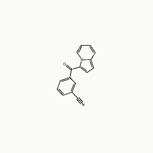 N#Cc1cccc(C(=O)c2ccc3ccccn23)c1